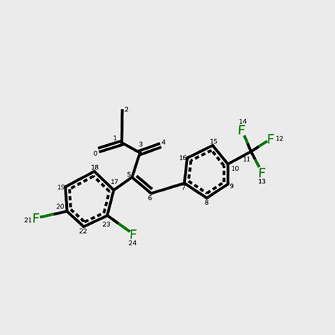 C=C(C)C(=C)/C(=C\c1ccc(C(F)(F)F)cc1)c1ccc(F)cc1F